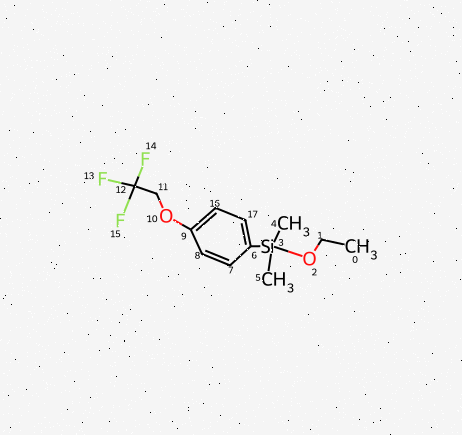 CCO[Si](C)(C)c1ccc(OCC(F)(F)F)cc1